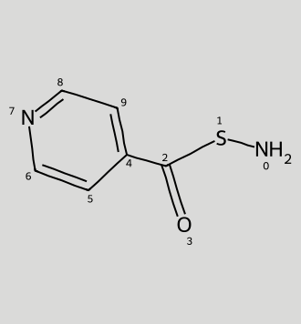 NSC(=O)c1ccncc1